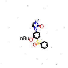 CCCCOc1cc(-n2ccn(C)c2=O)ccc1[S+]([O-])c1ccccc1